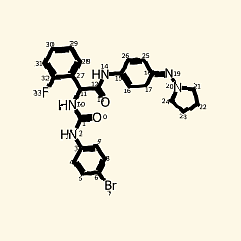 O=C(Nc1ccc(Br)cc1)NC(C(=O)NC1=CCC(=NN2CCCC2)C=C1)c1ccccc1F